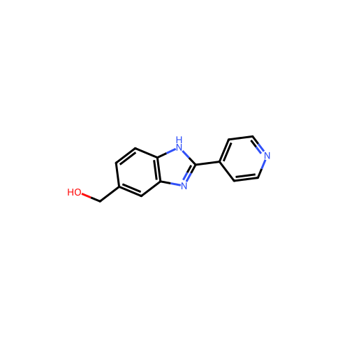 OCc1ccc2[nH]c(-c3ccncc3)nc2c1